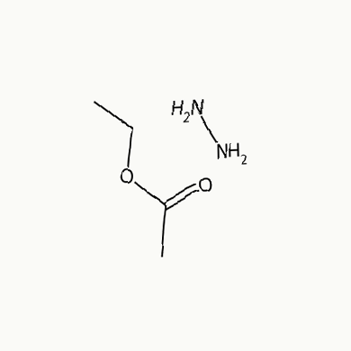 CCOC(C)=O.NN